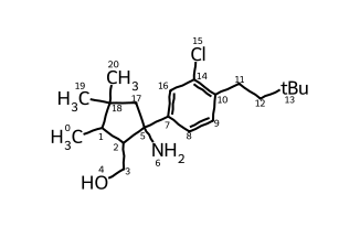 CC1C(CO)C(N)(c2ccc(CCC(C)(C)C)c(Cl)c2)CC1(C)C